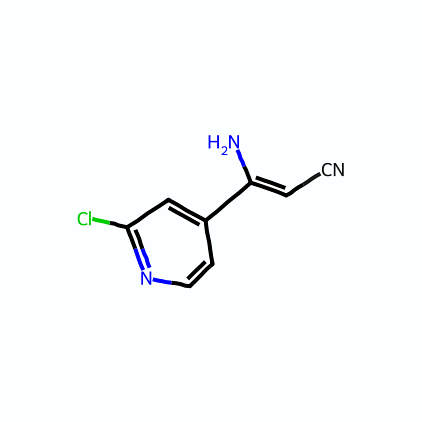 N#C/C=C(\N)c1ccnc(Cl)c1